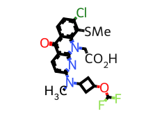 CSc1c(Cl)ccc2c(=O)c3ccc(N(C)C4CC(OC(F)F)C4)nc3n(CC(=O)O)c12